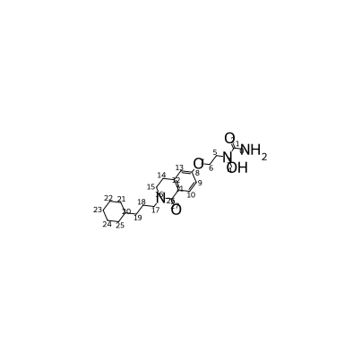 NC(=O)N(O)CCOc1ccc2c(c1)CCN(CCCC1CCCCC1)C2=O